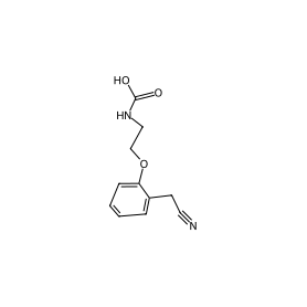 N#CCc1ccccc1OCCNC(=O)O